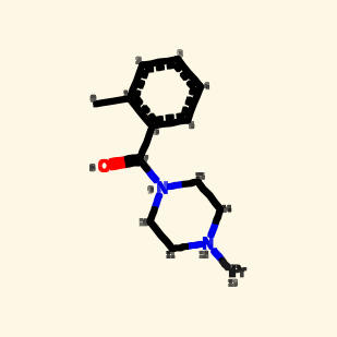 Cc1ccccc1C(=O)N1CCN(C(C)C)CC1